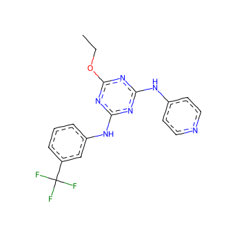 CCOc1nc(Nc2ccncc2)nc(Nc2cccc(C(F)(F)F)c2)n1